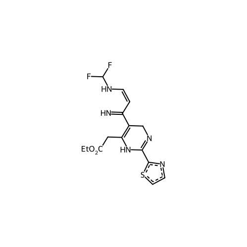 CCOC(=O)CC1=C(C(=N)/C=C\NC(F)F)CN=C(c2nccs2)N1